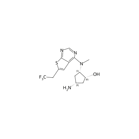 CN(c1ncnc2sc(CC(F)(F)F)cc12)[C@H]1C[C@@H](N)C[C@H]1O